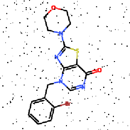 O=c1ncn(Cc2ccccc2Br)c2nc(N3CCOCC3)sc12